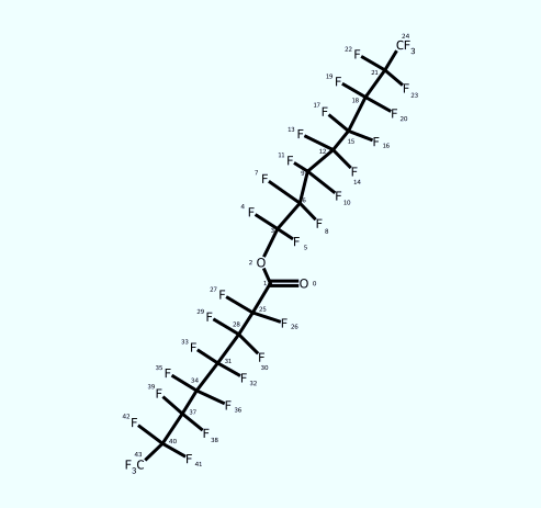 O=C(OC(F)(F)C(F)(F)C(F)(F)C(F)(F)C(F)(F)C(F)(F)C(F)(F)C(F)(F)F)C(F)(F)C(F)(F)C(F)(F)C(F)(F)C(F)(F)C(F)(F)C(F)(F)F